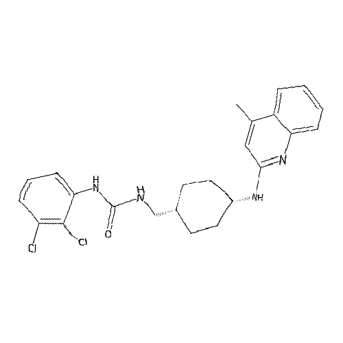 Cc1cc(N[C@H]2CC[C@@H](CNC(=O)Nc3cccc(Cl)c3Cl)CC2)nc2ccccc12